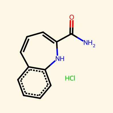 Cl.NC(=O)C1=CC=Cc2ccccc2N1